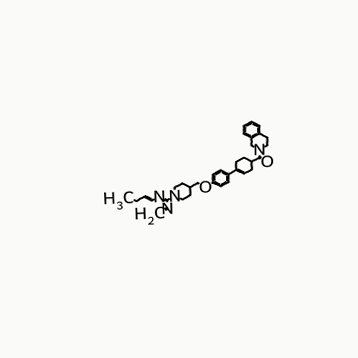 C=N/C(=N\C=C\CC)N1CCC(COc2ccc(C3=CCC(C(=O)N4CCc5ccccc5C4)CC3)cc2)CC1